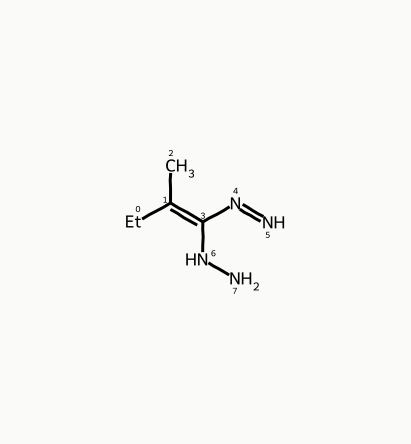 CC/C(C)=C(/N=N)NN